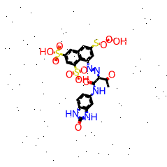 CC(=O)C(N=Nc1cc(SOOO)cc2cc(S(=O)(=O)O)cc(S(=O)(=O)O)c12)C(=O)Nc1ccc2[nH]c(=O)[nH]c2c1